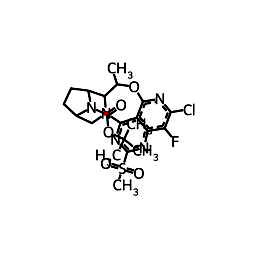 CC1Oc2nc(Cl)c(F)c3nc(S(C)(=O)=O)nc(c23)N2CC3CCC(C12)N3C(=O)OC(C)(C)C